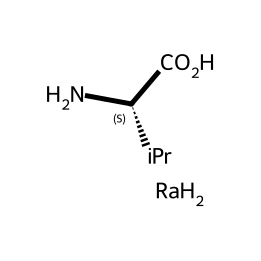 CC(C)[C@H](N)C(=O)O.[RaH2]